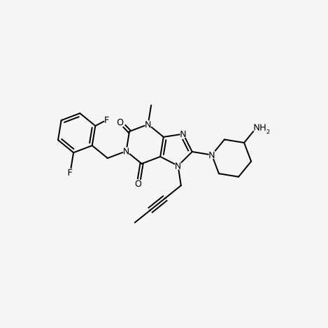 CC#CCn1c(N2CCCC(N)C2)nc2c1c(=O)n(Cc1c(F)cccc1F)c(=O)n2C